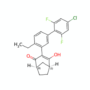 CCc1ccc(-c2c(F)cc(Cl)cc2F)cc1C1=C(O)[C@H]2CC[C@H](C2)C1=O